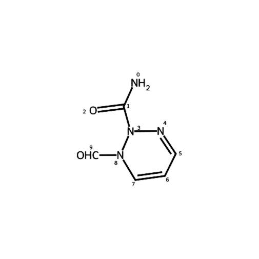 NC(=O)N1N=CC=CN1C=O